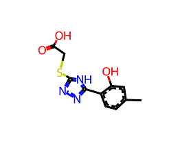 Cc1ccc(-c2nnc(SCC(=O)O)[nH]2)c(O)c1